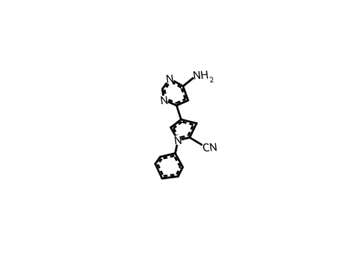 N#Cc1cc(-c2cc(N)ncn2)cn1-c1ccccc1